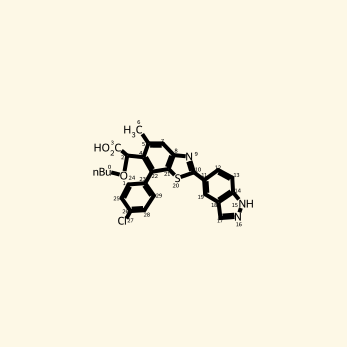 CCCCOC(C(=O)O)c1c(C)cc2nc(-c3ccc4[nH]ncc4c3)sc2c1-c1ccc(Cl)cc1